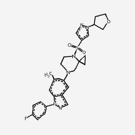 Cc1cc2c(cnn2-c2ccc(F)cc2)cc1N1CCN(S(=O)(=O)c2cnn(C3CCOC3)c2)C2(CC2)C1